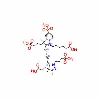 CC1=NN(CCCS(=O)(=O)O)\C(=C/C=C/C=C/C2=[N+](CCCCCC(=O)O)c3ccc(S(=O)(=O)O)cc3C2(C)CCCS(=O)(=O)O)C1(C)CCC(=O)O